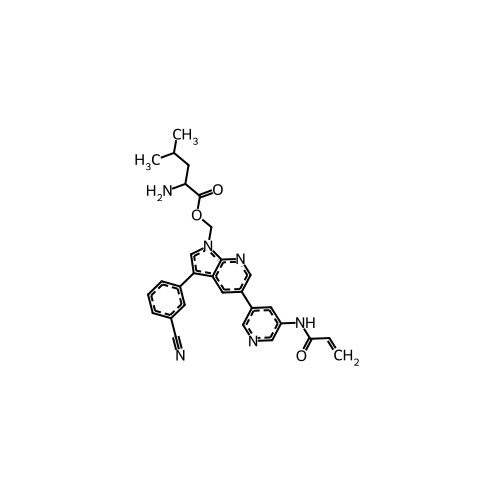 C=CC(=O)Nc1cncc(-c2cnc3c(c2)c(-c2cccc(C#N)c2)cn3COC(=O)C(N)CC(C)C)c1